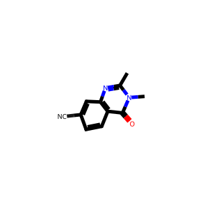 Cc1nc2cc(C#N)ccc2c(=O)n1C